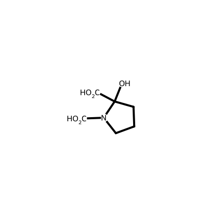 O=C(O)N1CCCC1(O)C(=O)O